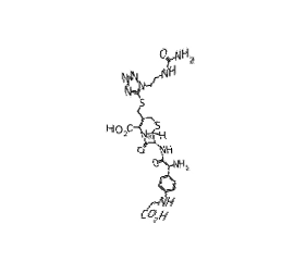 NC(=O)NCCn1nnnc1SCC1=C(C(=O)O)N2C(=O)C(NC(=O)C(N)c3ccc(NCC(=O)O)cc3)[C@H]2SC1